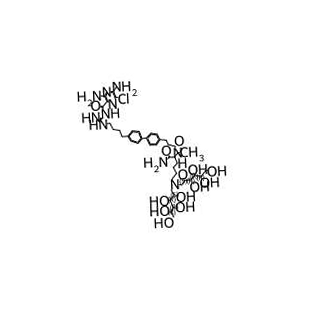 CN(C(=O)CCc1ccc(-c2ccc(CCCCNC(=N)NC(=O)c3nc(Cl)c(N)nc3N)cc2)cc1)C(CCCCN(C[C@H](O)[C@@H](O)[C@H](O)[C@H](O)CO)C[C@H](O)[C@@H](O)[C@H](O)[C@H](O)CO)C(N)=O